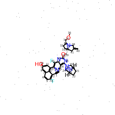 C#Cc1c(F)ccc2cc(O)cc(-c3ncc4c(N5C[C@H]6CC[C@@H](C5)N6)nc(OC[C@]56CC[C@@H](COC)N5CC(=C)C6)nc4c3F)c12